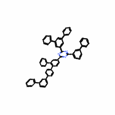 c1ccc(-c2cccc(-c3ccc(-c4ccc(-c5nc(-c6cccc(-c7ccccc7)c6)nc(-c6cc(-c7ccccc7)cc(-c7ccccc7)c6)n5)cc4-c4ccccc4)cc3)c2)cc1